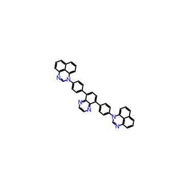 C1=Nc2cccc3cccc(c23)N1c1ccc(-c2ccc(-c3ccc(N4C=Nc5cccc6cccc4c56)cc3)c3nccnc23)cc1